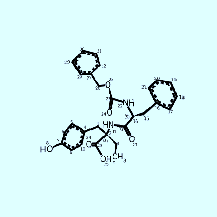 CC[C@@](Cc1ccc(O)cc1)(NC(=O)[C@H](Cc1ccccc1)NC(=O)OCc1ccccc1)C(=O)O